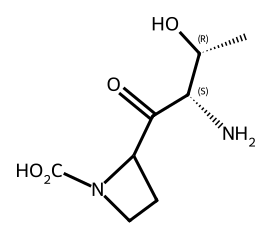 C[C@@H](O)[C@H](N)C(=O)C1CCN1C(=O)O